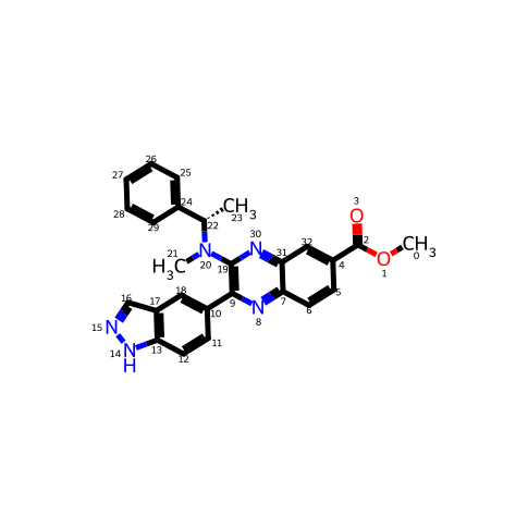 COC(=O)c1ccc2nc(-c3ccc4[nH]ncc4c3)c(N(C)[C@@H](C)c3ccccc3)nc2c1